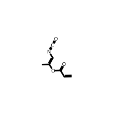 C=CC(=O)OC(C)=CN=C=O